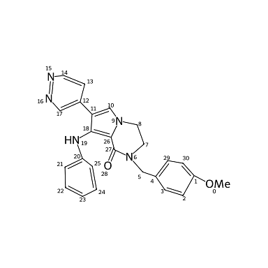 COc1ccc(CN2CCn3cc(-c4ccnnc4)c(Nc4ccccc4)c3C2=O)cc1